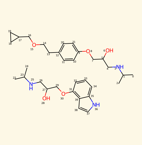 CC(C)NCC(O)COc1ccc(CCOCC2CC2)cc1.CC(C)NCC(O)COc1cccc2[nH]ccc12